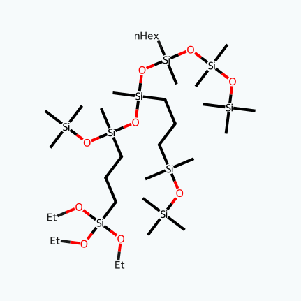 CCCCCC[Si](C)(O[Si](C)(C)O[Si](C)(C)C)O[Si](C)(CCC[Si](C)(C)O[Si](C)(C)C)O[Si](C)(CCC[Si](OCC)(OCC)OCC)O[Si](C)(C)C